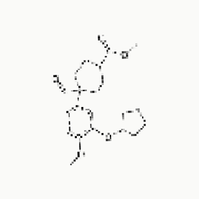 COC(=O)C1CCC(C=O)(c2ccc(OC)c(OC3CCCC3)c2)CC1